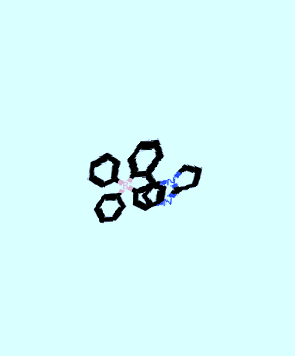 c1ccc([B-](c2ccccc2)(c2ccccc2)c2ccccc2C2CCN=C3CCCN32)cc1